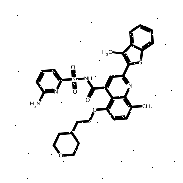 Cc1c(-c2cc(C(=O)NS(=O)(=O)c3cccc(N)n3)c3c(OCCC4CCOCC4)ccc(C)c3n2)sc2ccccc12